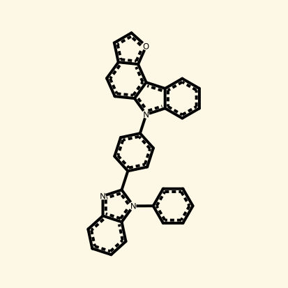 c1ccc(-n2c(-c3ccc(-n4c5ccccc5c5c6occc6ccc54)cc3)nc3ccccc32)cc1